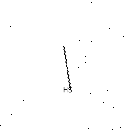 CCCCCCCCCCCCCCCCCCCCCCS